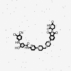 N#Cc1ccc(N[C@@H]2C[C@@H](C(=O)Nc3ccc(N4CCC(CN5CCN(c6ccc7c(c6)C(=O)N(C6CCC(=O)NC6=O)C7=O)CC5)CC4)cn3)C[C@@H]2O)cc1Cl